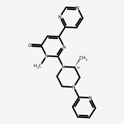 C[C@@H]1CN(c2ccccn2)CCN1c1nc(-c2ccncn2)cc(=O)n1C